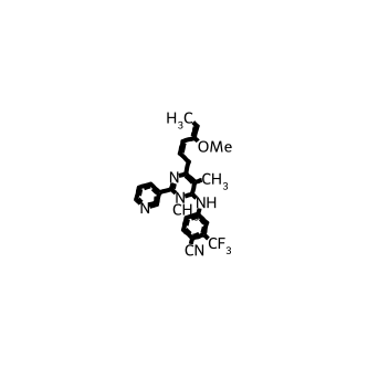 C/C=C(\C=C/CC1=C(C)C(Nc2ccc(C#N)c(C(F)(F)F)c2)N(C)C(c2cccnc2)=N1)OC